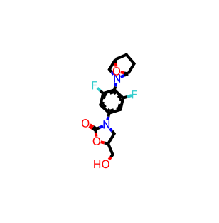 O=C1OC(CO)CN1c1cc(F)c(N2CC3CCC2O3)c(F)c1